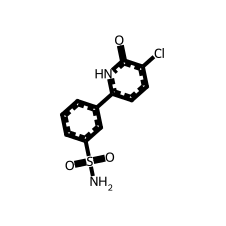 NS(=O)(=O)c1cccc(-c2ccc(Cl)c(=O)[nH]2)c1